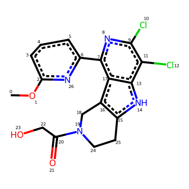 COc1cccc(-c2nc(Cl)c(Cl)c3[nH]c4c(c23)CN(C(=O)CO)CC4)n1